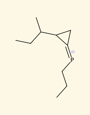 CCC/P=C1/CC1C(C)CC